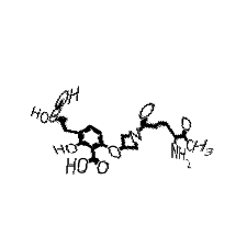 CC(=O)[C@@H](N)CCC(=O)N1CC(Oc2ccc(CCB(O)O)c(O)c2C(=O)O)C1